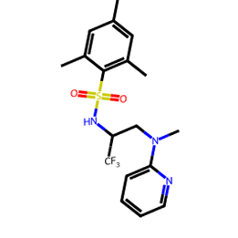 Cc1cc(C)c(S(=O)(=O)NC(CN(C)c2ccccn2)C(F)(F)F)c(C)c1